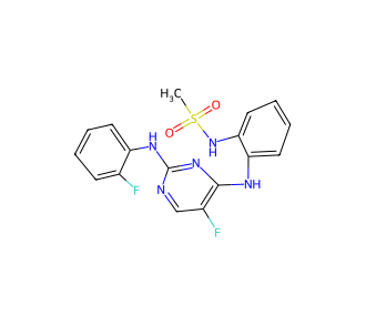 CS(=O)(=O)Nc1ccccc1Nc1nc(Nc2ccccc2F)ncc1F